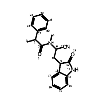 CC(C(=O)N(C)C(C#N)CC1C(=O)Nc2ccccc21)c1ccccc1